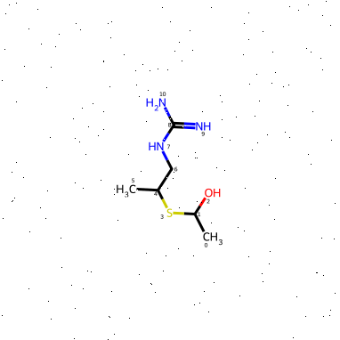 CC(O)SC(C)CNC(=N)N